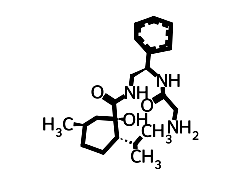 CC(C)[C@@H]1CC[C@@H](C)C[C@@]1(O)C(=O)NC[C@H](NC(=O)CN)c1ccccc1